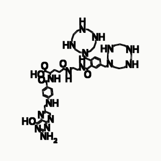 Nc1nc(O)c2nc(CNc3ccc(C(=O)NC(CCC(=O)NCCNC(=O)c4cc(CN5CCCNCCNCCCNCC5)ccc4CN4CCCNCCNCCCNCC4)C(=O)O)cc3)cnc2n1